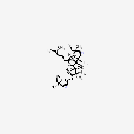 CC(C)CC(C)(C)/C=C\COC(=O)C(C)(N)C(C)(C)C(OC(=O)CCCN(C)C)C(C)(C)C(C)(C)/C=C\C(C)(C)CC(C)C